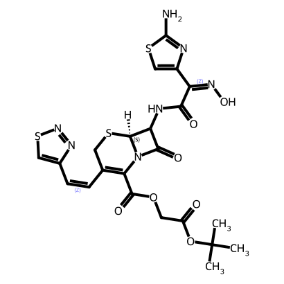 CC(C)(C)OC(=O)COC(=O)C1=C(/C=C\c2csnn2)CS[C@H]2C(NC(=O)/C(=N\O)c3csc(N)n3)C(=O)N12